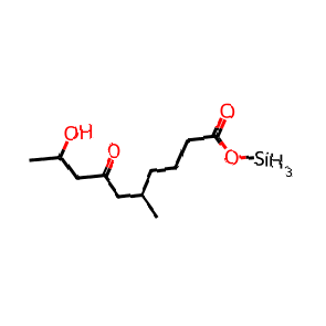 CC(O)CC(=O)CC(C)CCCC(=O)O[SiH3]